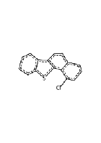 Clc1cccc2ccc3c4ccccc4sc3c12